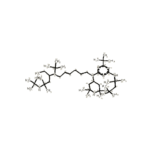 CCC(CC(C)(C)NC(C)(C)C)N(CCCCCCN(c1nc(NC(C)(C)CC(C)(C)C)nc(C(C)(C)C)n1)C1CC(C)(C)NC(C)(C)C1)C(C)(C)C